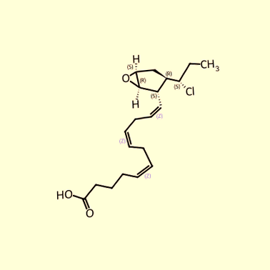 CC[C@H](Cl)[C@@H]1C[C@@H]2O[C@@H]2[C@H]1/C=C\C/C=C\C/C=C\CCCC(=O)O